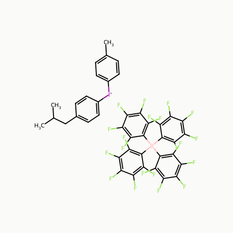 Cc1ccc([I+]c2ccc(CC(C)C)cc2)cc1.Fc1c(F)c(F)c([B-](c2c(F)c(F)c(F)c(F)c2F)(c2c(F)c(F)c(F)c(F)c2F)c2c(F)c(F)c(F)c(F)c2F)c(F)c1F